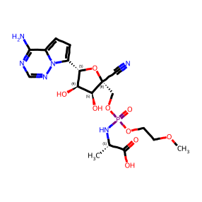 COCCOP(=O)(N[C@@H](C)C(=O)O)OC[C@@]1(C#N)O[C@@H](c2ccc3c(N)ncnn23)[C@H](O)[C@@H]1O